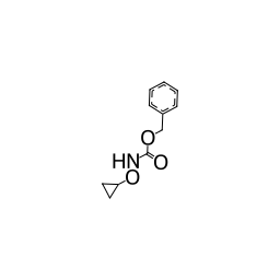 O=C(NOC1CC1)OCc1ccccc1